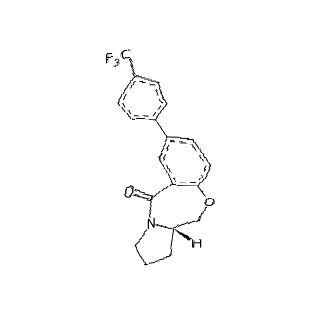 O=C1c2cc(-c3ccc(C(F)(F)F)cc3)ccc2OC[C@@H]2CCCN12